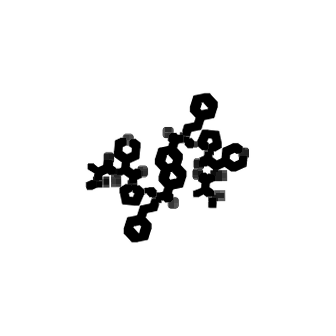 CN[C@@H](C)C(=O)N[C@H](C(=O)N1CCC[C@H]1CN(CCc1ccccc1)C(=O)c1ccc2cc(C(=O)N(CCc3ccccc3)C[C@@H]3CCCN3C(=O)[C@@H](NC(=O)[C@H](C)NC)C3CCOCC3)ccc2c1)C1CCOCC1